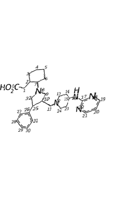 O=C(O)CC1CCCCC1N1CC(CN2CCC(Nc3ncccn3)CC2)C(c2ccccc2)C1